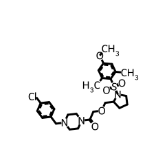 COc1cc(C)c(S(=O)(=O)N2CCCC2COCC(=O)N2CCN(Cc3ccc(Cl)cc3)CC2)c(C)c1